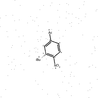 CC[C@@H](C)c1cc(C(C)=O)ccc1[N+](=O)[O-]